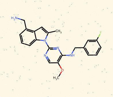 COc1cnc(-n2c(C)cc3c(CN)cccc32)nc1NCc1cccc(F)c1